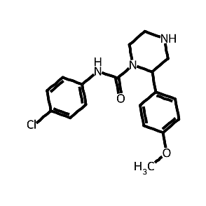 COc1ccc(C2CNCCN2C(=O)Nc2ccc(Cl)cc2)cc1